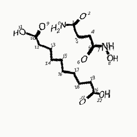 NC(=O)CCC(=O)NO.O=C(O)CCCCCCCCC(=O)O